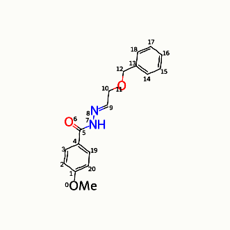 COc1ccc(C(=O)N/N=C/COCc2ccccc2)cc1